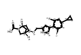 O=C(O)N1C[C@@H]2C[C@H]1C[C@H]2OCc1cc(-c2c(F)cc(C3CC3)cc2F)n[nH]1